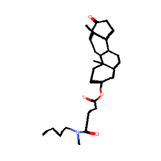 CCCCN(C)C(=O)CCC(=O)OC1CCC2(C)C(CCC3C4CCC(=O)C4(C)CCC32)C1